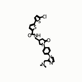 CN(C)Cc1nccn1-c1ccc(N2CC(CNC(=O)c3ccc(-c4ccc(Cl)s4)s3)CC2=O)cc1